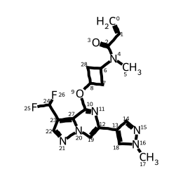 C=CC(=O)N(C)C1CC(Oc2nc(-c3cnn(C)c3)cn3ncc(C(F)F)c23)C1